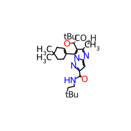 Cc1nc2cc(C(=O)NCCC(C)(C)C)nn2c(C2=CCC(C)(C)CC2)c1[C@H](OC(C)(C)C)C(=O)O